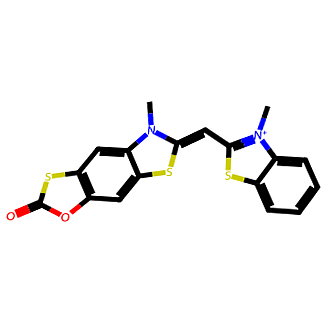 CN1C(=Cc2sc3ccccc3[n+]2C)Sc2cc3oc(=O)sc3cc21